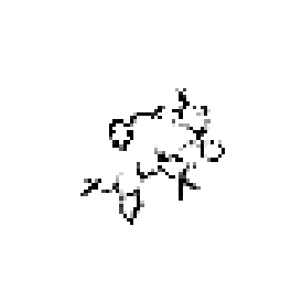 CC(C)(C)OC(=O)N1CCC[C@H]1C(=O)NC(=O)[C@H](CC1(C(=O)N[C@@H](COCc2ccccc2)C(=O)O)CCCC1)OC(C)(C)C